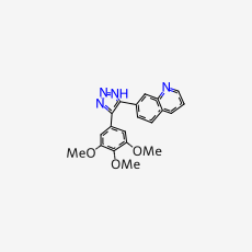 COc1cc(-c2nn[nH]c2-c2ccc3cccnc3c2)cc(OC)c1OC